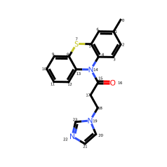 Cc1ccc2c(c1)Sc1ccccc1N2C(=O)CCn1ccnc1